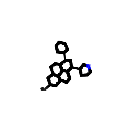 CC(C)(C)c1cc2ccc3c(-c4ccccc4)cc(-c4cccnc4)c4ccc(c1)c2c34